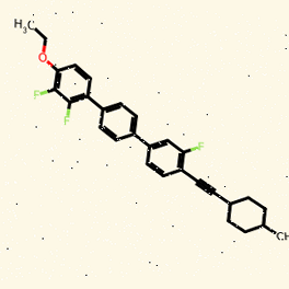 CCOc1ccc(-c2ccc(-c3ccc(C#CC4CCC(C)CC4)c(F)c3)cc2)c(F)c1F